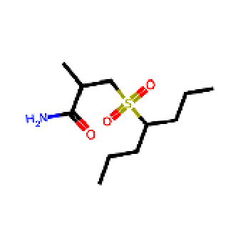 CCCC(CCC)S(=O)(=O)CC(C)C(N)=O